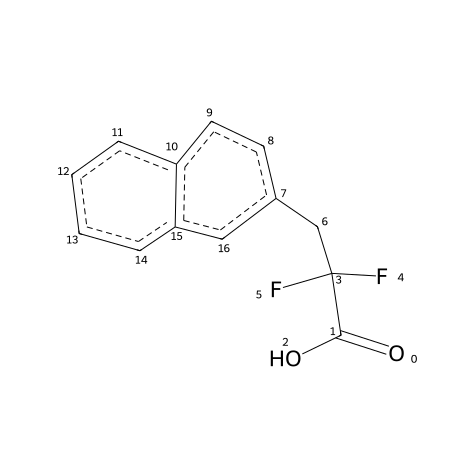 O=C(O)C(F)(F)Cc1ccc2ccccc2c1